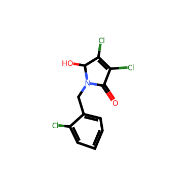 O=C1C(Cl)=C(Cl)C(O)N1Cc1ccccc1Cl